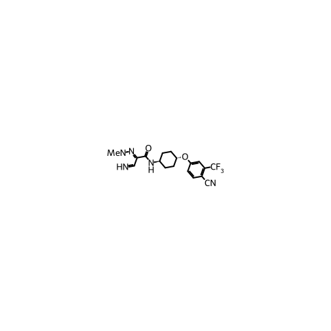 CN/N=C(\C=N)C(=O)N[C@H]1CC[C@H](Oc2ccc(C#N)c(C(F)(F)F)c2)CC1